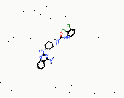 CN(C)c1nc(N[C@H]2CC[C@@H](CNC(=O)Nc3cccc(Cl)c3Cl)CC2)nc2ccccc12